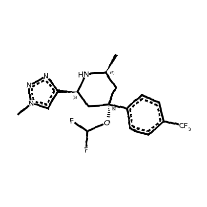 C[C@H]1C[C@@](OC(F)F)(c2ccc(C(F)(F)F)cc2)C[C@@H](c2cn(C)nn2)N1